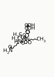 CCCCCC(=O)N1C(Cc2ccc(OP(=O)(O)O)cc2)C(=O)N(C(C(=O)NCCCCCC(N)=O)C(C)CC)C12CCCC2